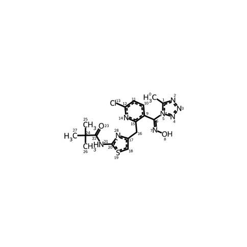 Cc1nnnn1C(=NO)c1ccc(Cl)nc1Cc1csc(NC(=O)C(C)(C)C)n1